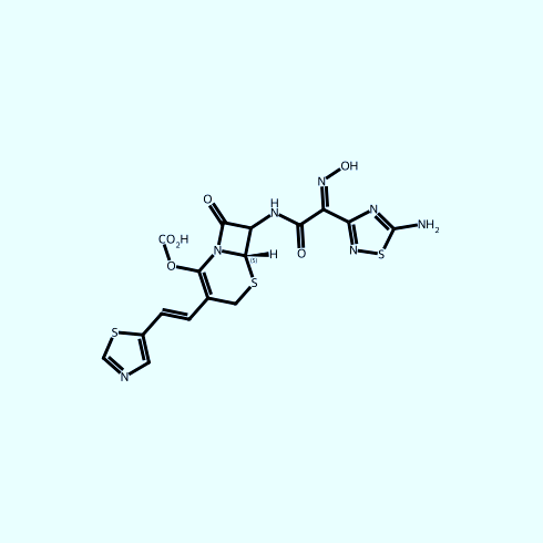 Nc1nc(C(=NO)C(=O)NC2C(=O)N3C(OC(=O)O)=C(C=Cc4cncs4)CS[C@@H]23)ns1